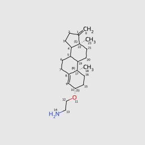 C=C1CCC2C3CCC4=C[C@@H](OCCN)CC[C@]4(C)C3CC[C@]12C